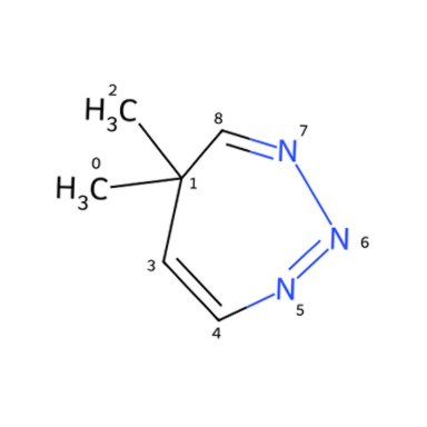 CC1(C)C=CN=NN=C1